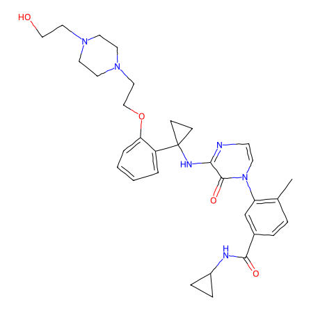 Cc1ccc(C(=O)NC2CC2)cc1-n1ccnc(NC2(c3ccccc3OCCN3CCN(CCO)CC3)CC2)c1=O